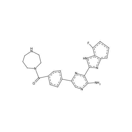 Nc1ncc(-c2ccc(C(=O)N3CCCNCC3)cc2)nc1-c1nc2cccc(F)c2[nH]1